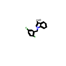 O=Cc1cn(Cc2cc(F)ccc2F)c2ccccc12